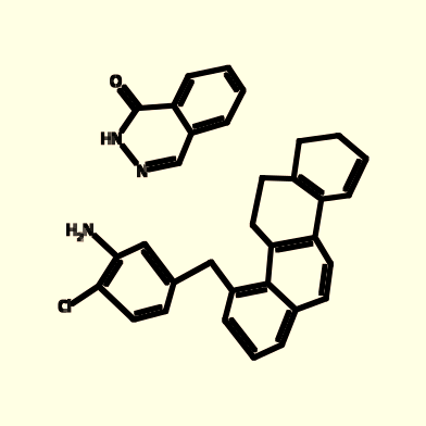 Nc1cc(Cc2cccc3ccc4c(c23)CCC2=C4C=CCC2)ccc1Cl.O=c1[nH]ncc2ccccc12